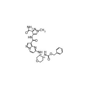 Cn1cc(NC(=O)c2cnn3ccc(N[C@H]4COCC[C@H]4NC(=O)OCc4ccccc4)nc23)c(C(N)=O)n1